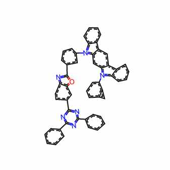 C1=c2cccc(-n3c4ccccc4c4cc5c6ccccc6n(-c6cccc(-c7nc8ccc(-c9nc(-c%10ccccc%10)nc(-c%10ccccc%10)n9)cc8o7)c6)c5cc43)c2=1